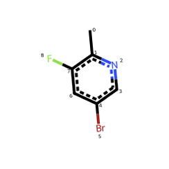 Cc1ncc(Br)cc1F